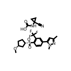 CO[C@H]1CC[C@H](S(=O)(=O)c2ccc(-c3cc(C)nn3C)cc2C(F)(F)F)C1.N#CC1(NC(=O)O)CC1